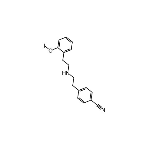 N#Cc1ccc(CCNCCc2ccccc2OI)cc1